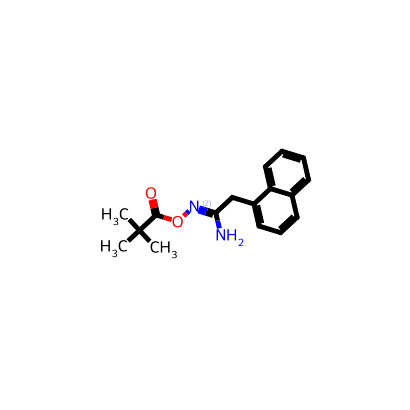 CC(C)(C)C(=O)O/N=C(\N)Cc1cccc2ccccc12